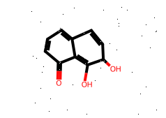 O=C1C=CC=C2C=CC(O)C(O)=C12